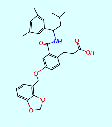 Cc1cc(C)cc(C(CC(C)C)NC(=O)c2cc(OCc3cccc4c3OCO4)ccc2CCC(=O)O)c1